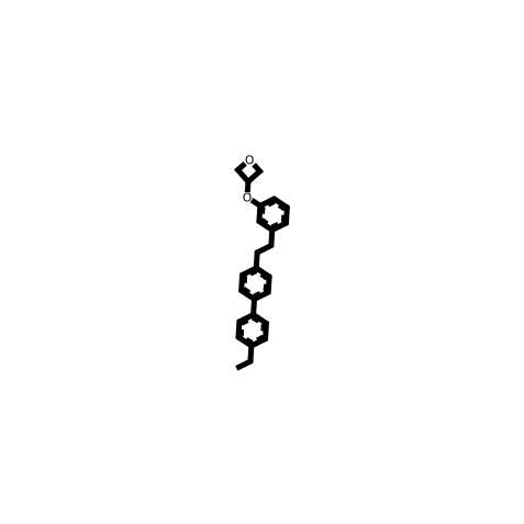 CCc1ccc(-c2ccc(CCc3cccc(OC4COC4)c3)cc2)cc1